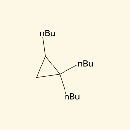 CCCCC1CC1(CCCC)CCCC